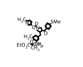 CCOC(=O)C(C)(C)Oc1c(C)cc(CC2CN(C(=O)Oc3ccc(C)nc3)CC2C(=O)c2ccc(SC)cc2)cc1C